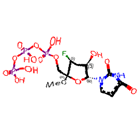 CO[C@]1(COP(=O)(O)OP(=O)(O)OP(=O)(O)O)O[C@@H](n2ccc(=O)[nH]c2=O)[C@H](O)[C@@H]1F